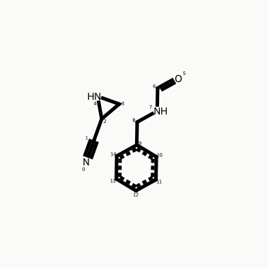 N#CC1CN1.O=CNCc1ccccc1